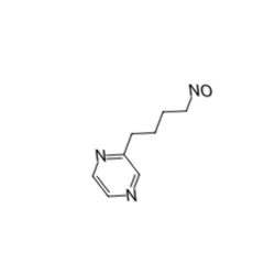 O=NCCCCc1cnccn1